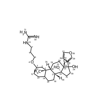 C[C@]12CC(OCCCNC(=N)N)CCC1CC[C@@H]1[C@H]2CC[C@]2(C)C(O)(c3ccoc3)CC[C@@]12O